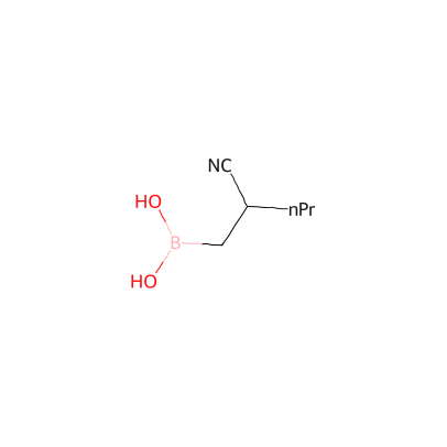 CCCC(C#N)CB(O)O